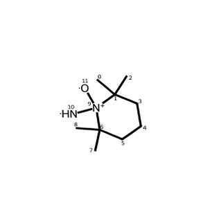 CC1(C)CCCC(C)(C)[N+]1([NH])[O]